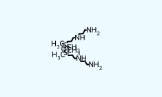 C[Si](C)(CCCNCCCN)O[Si](C)(C)CCCNCCCN